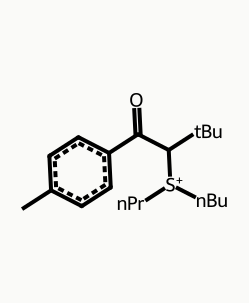 CCCC[S+](CCC)C(C(=O)c1ccc(C)cc1)C(C)(C)C